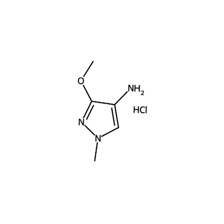 COc1nn(C)cc1N.Cl